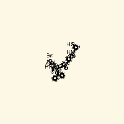 CC(C)(C)OC(=O)N[C@@H]1C(=O)N2C(C(=O)OC(c3ccccc3)c3ccccc3)=C(C=C3CCN(Cc4cc[n+](CC(=O)NCc5cccc(O)c5)cc4)C3=O)CS[C@H]12.[Br-]